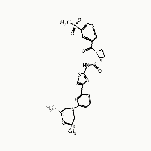 C[C@@H]1CN(c2cccc(-c3csc(NC(=O)[C@H]4CCN4C(=O)c4cncc(S(C)(=O)=O)c4)n3)n2)C[C@H](C)O1